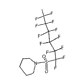 CC(F)(F)C(F)(F)C(F)(F)C(F)(F)C(F)(F)C(F)(F)S(=O)(=O)N1CCCCC1